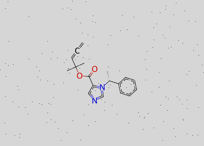 C=C=CC(C)(C)OC(=O)c1cncn1[C@H](C)c1ccccc1